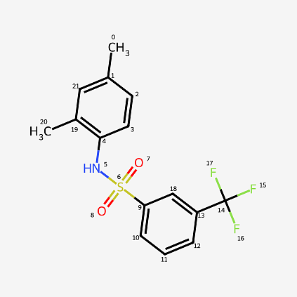 Cc1ccc(NS(=O)(=O)c2cccc(C(F)(F)F)c2)c(C)c1